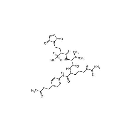 C=C(C)[C@H](NC(=O)[C@H](CCN1C(=O)C=CC1=O)S(=O)(=O)O)C(=O)N[C@@H](CCCNC(N)=O)C(=O)Nc1ccc(COC(C)=O)cc1